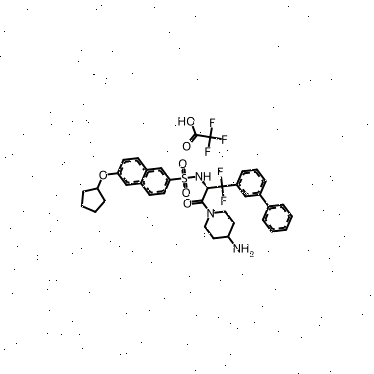 NC1CCN(C(=O)[C@@H](NS(=O)(=O)c2ccc3cc(OC4CCCC4)ccc3c2)C(F)(F)c2cccc(-c3ccccc3)c2)CC1.O=C(O)C(F)(F)F